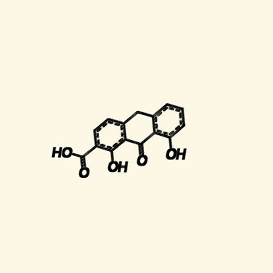 O=C(O)c1ccc2c(c1O)C(=O)c1c(O)cccc1C2